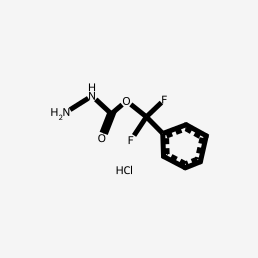 Cl.NNC(=O)OC(F)(F)c1ccccc1